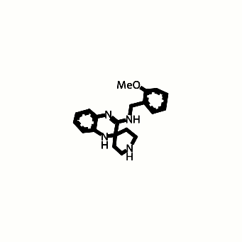 COc1ccccc1CNC1=Nc2ccccc2NC12CCNCC2